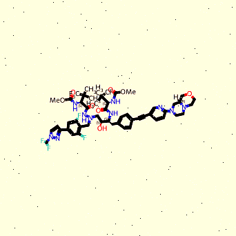 COC(=O)N[C@H](C(=O)N[C@@H](Cc1ccc(C#Cc2ccc(N3CCN4CCOC[C@H]4C3)nc2)cc1)[C@@H](O)CN(Cc1c(F)cc(-c2ccn(C(F)F)n2)cc1F)NC(=O)[C@@H](NC(=O)OC)C(C)(C)C(F)(F)F)C(C)(C)C(F)(F)F